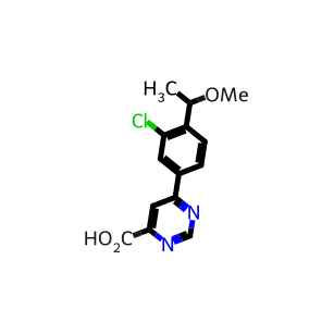 COC(C)c1ccc(-c2cc(C(=O)O)ncn2)cc1Cl